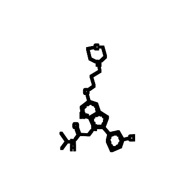 CC(C)NC(=O)Cn1c(-c2cccc(Cl)c2)cc2cc(OCCCN3CCCCC3)cnc21